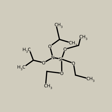 CCO[Si](OCC)(OCC)N(OC(C)C)OC(C)C